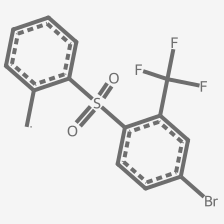 [CH2]c1ccccc1S(=O)(=O)c1ccc(Br)cc1C(F)(F)F